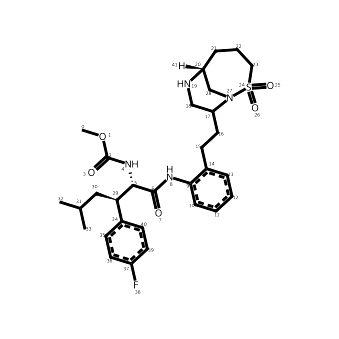 COC(=O)N[C@H](C(=O)Nc1ccccc1CCC1CN[C@@H]2CCCS(=O)(=O)N1C2)[C@H](CC(C)C)c1ccc(F)cc1